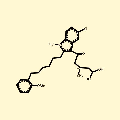 COc1ccccc1CCCCCCc1c(C(=O)C[C@H](C)CC(O)O)c2cc(Cl)ccc2n1C